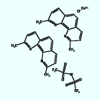 Cc1ccc2ccc3ccc(C)nc3c2n1.Cc1ccc2ccc3ccc(C)nc3c2n1.O=S(=O)([N-]S(=O)(=O)C(F)(F)F)C(F)(F)F.[Cl-].[Cu+2]